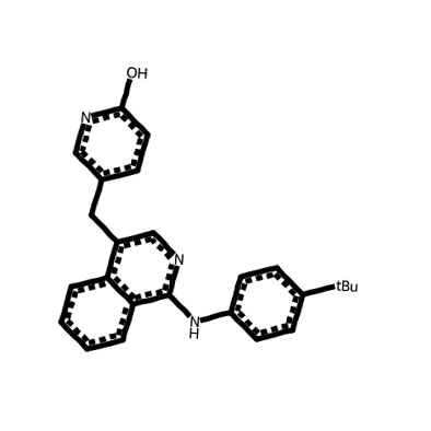 CC(C)(C)c1ccc(Nc2ncc(Cc3ccc(O)nc3)c3ccccc23)cc1